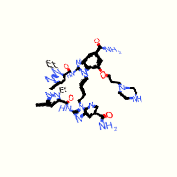 CCn1nc(C)cc1C(=O)Nc1nc2cc(C(N)=O)cnc2n1CC=CCn1c(NC(=O)c2cc(C)nn2CC)nc2cc(C(N)=O)cc(OCCCN3CCNCC3)c21